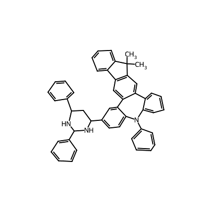 CC1(C)c2ccccc2-c2cc3c(cc21)-c1ccccc1N(c1ccccc1)c1ccc(C2CC(c4ccccc4)NC(c4ccccc4)N2)cc1-3